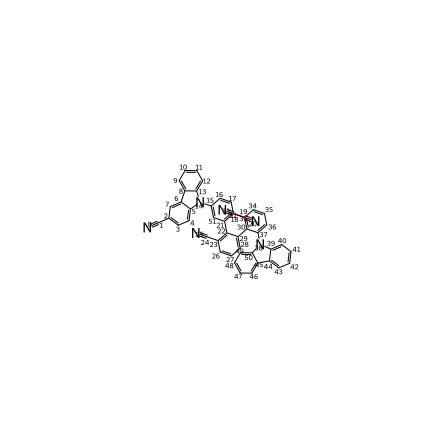 N#Cc1ccc2c(c1)c1ccccc1n2-c1ccc(C#N)c(-c2c(C#N)cccc2-c2c(C#N)cccc2-n2c3ccccc3c3ccccc32)c1